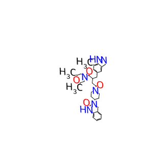 Cc1cc(CC(CC(=O)N2CCC(N3Cc4ccccc4NC3=O)CC2)C(=O)N2CC(C)OC(C)C2)cc2cn[nH]c12